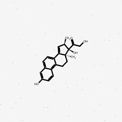 C[C@@H]1C=C2c3ccc4cc(O)ccc4c3CC[C@]2(C)[C@@]1(O)C(=O)CO